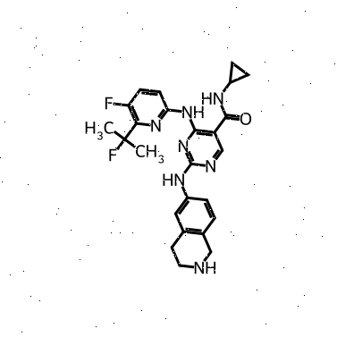 CC(C)(F)c1nc(Nc2nc(Nc3ccc4c(c3)CCNC4)ncc2C(=O)NC2CC2)ccc1F